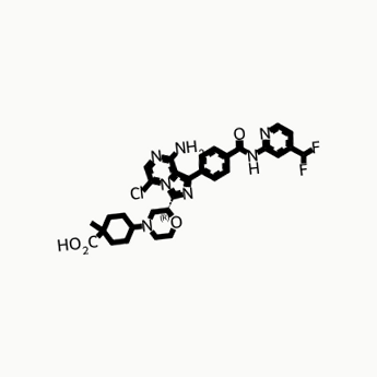 CC1(C(=O)O)CCC(N2CCO[C@@H](c3nc(-c4ccc(C(=O)Nc5cc(C(F)F)ccn5)cc4)c4c(N)ncc(Cl)n34)C2)CC1